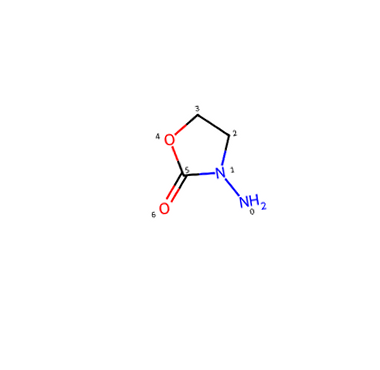 NN1CCOC1=O